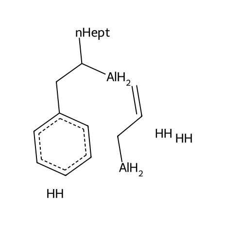 C=C[CH2][AlH2].CCCCCCC[CH]([AlH2])Cc1ccccc1.[HH].[HH].[HH]